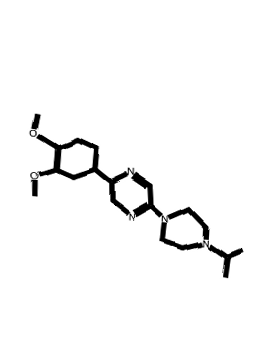 COC1CCC(C2CN=C(N3CCN(C(C)C)CC3)C=N2)CC1OC